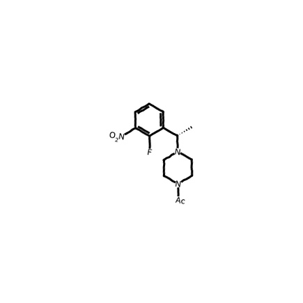 CC(=O)N1CCN([C@@H](C)c2cccc([N+](=O)[O-])c2F)CC1